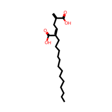 C=C(CC=C(CCCCCCCCCCCCC)C(=O)O)C(=O)O